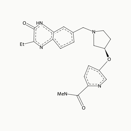 CCc1nc2ccc(CN3CC[C@@H](Oc4ccc(C(=O)NC)nc4)C3)cc2[nH]c1=O